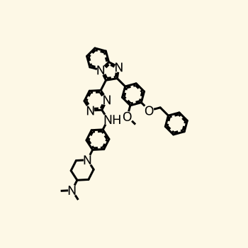 COc1cc(-c2nc3ccccn3c2-c2ccnc(Nc3ccc(N4CCC(N(C)C)CC4)cc3)n2)ccc1OCc1ccccc1